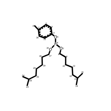 Cc1ccc(OP(OCCCCCC(C)C)OCCCCCC(C)C)cc1